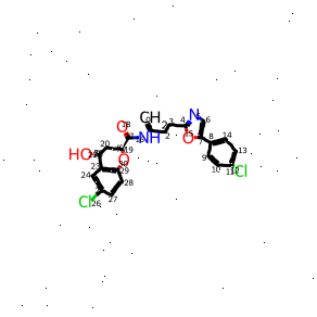 C=C(CCc1ncc(-c2ccc(Cl)cc2)o1)NC(=O)[C@@H]1C[C@@H](O)c2cc(Cl)ccc2O1